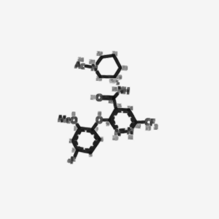 COc1cc(F)ccc1Oc1nnc(C(F)(F)F)cc1C(=O)N[C@H]1CCCN(C(C)=O)C1